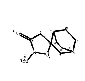 CC(C)(C)N1OC2(CC1=O)CN1CCC2CC1